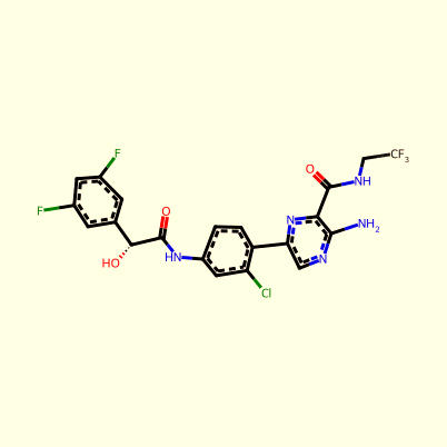 Nc1ncc(-c2ccc(NC(=O)[C@H](O)c3cc(F)cc(F)c3)cc2Cl)nc1C(=O)NCC(F)(F)F